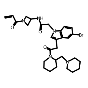 C=CC(=O)N1CC(NC(=O)Cn2cc(CC(=O)N3CCCCC3CN3CCCCC3)c3cc(Br)ccc32)C1